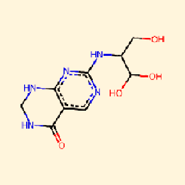 O=C1NCNc2nc(NC(CO)C(O)O)ncc21